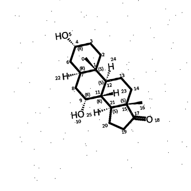 C[C@]12CC[C@@H](O)C[C@@H]1C[C@@H](O)[C@@H]1[C@@H]2CC[C@]2(C)C(=O)CC[C@@H]12